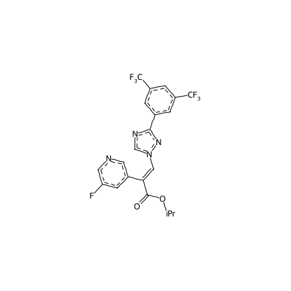 CC(C)OC(=O)/C(=C/n1cnc(-c2cc(C(F)(F)F)cc(C(F)(F)F)c2)n1)c1cncc(F)c1